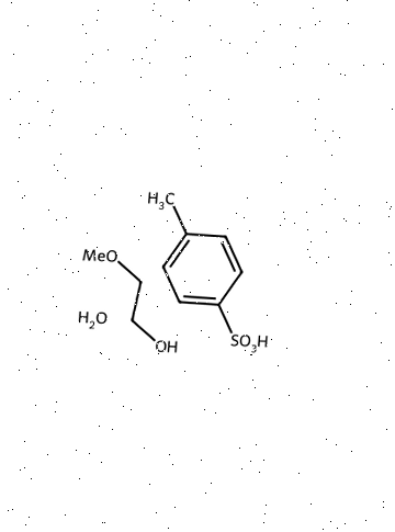 COCCO.Cc1ccc(S(=O)(=O)O)cc1.O